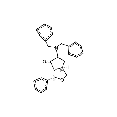 O=C1C(N(Cc2ccccc2)Cc2ccccc2)C[C@H]2CO[C@H](c3ccccc3)N12